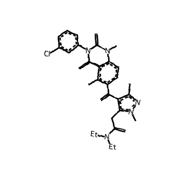 C=C(c1ccc2c(c1C)C(=C)N(c1cccc(Cl)c1)C(=C)N2C)c1c(C)nn(C)c1CC(=C)N(CC)CC